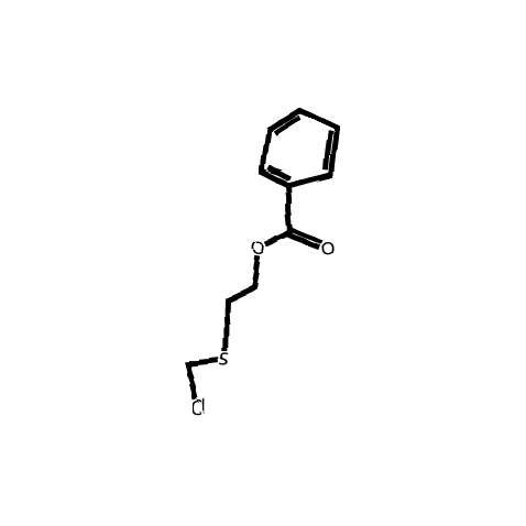 O=C(OCCSCCl)c1ccccc1